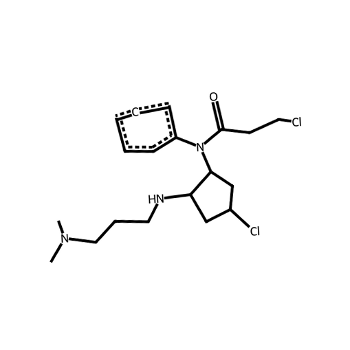 CN(C)CCCNC1CC(Cl)CC1N(C(=O)CCCl)c1ccccc1